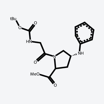 COC(=O)C1C[C@@H](Nc2ccccc2)CN1C(=O)CNC(=O)OC(C)(C)C